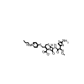 CCCN[n+]1ccc(SCC2=C(C(=O)[O-])N3C(=O)[C@@H](NC(=O)/C(=N\OC)c4csc(N)n4)[C@H]3SC2)cc1